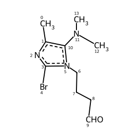 Cc1nc(Br)n(CCCC=O)c1N(C)C